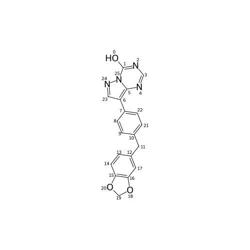 Oc1ncnc2c(-c3ccc(Cc4ccc5c(c4)OCO5)cc3)cnn12